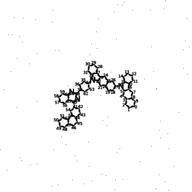 c1ccc2cc3c(cc2c1)c1ccccc1n3-c1ccc2cc3c(cc2c1)c1ccccc1n3-c1ccc(-c2nc(-c3ccc4ccc5ccccc5c4c3)c3ccccc3n2)cc1